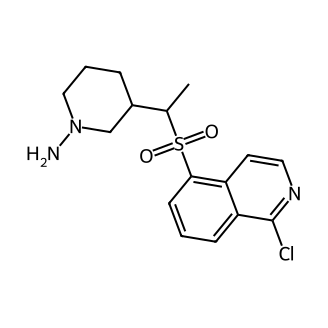 CC(C1CCCN(N)C1)S(=O)(=O)c1cccc2c(Cl)nccc12